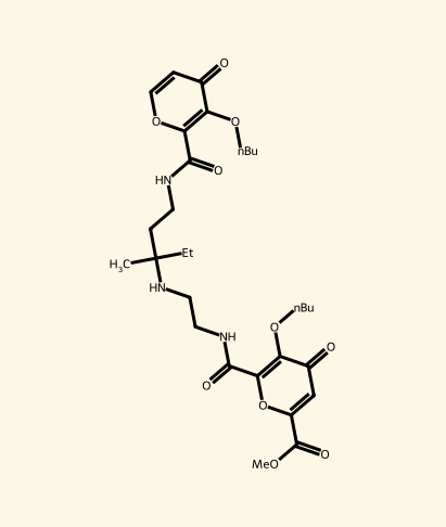 CCCCOc1c(C(=O)NCCC(C)(CC)NCCNC(=O)c2oc(C(=O)OC)cc(=O)c2OCCCC)occc1=O